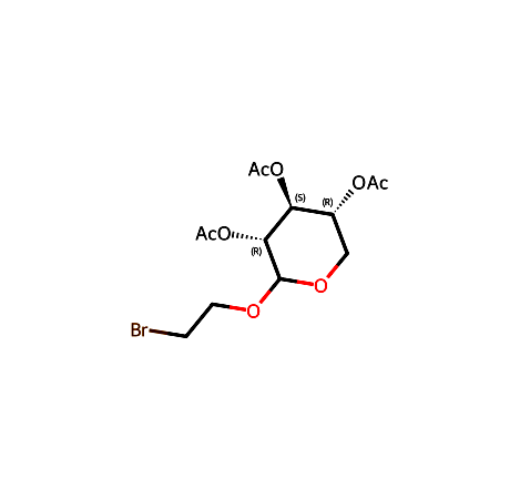 CC(=O)O[C@H]1[C@H](OC(C)=O)COC(OCCBr)[C@@H]1OC(C)=O